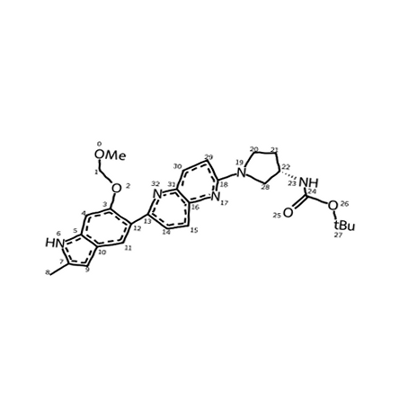 COCOc1cc2[nH]c(C)cc2cc1-c1ccc2nc(N3CC[C@H](NC(=O)OC(C)(C)C)C3)ccc2n1